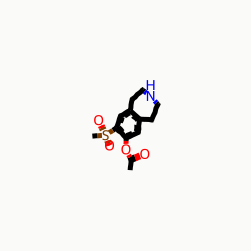 CC(=O)Oc1cc2c(cc1S(C)(=O)=O)CCNCC2